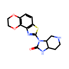 O=C1NC2CCNCC2N1c1nc2c3c(ccc2s1)OCCO3